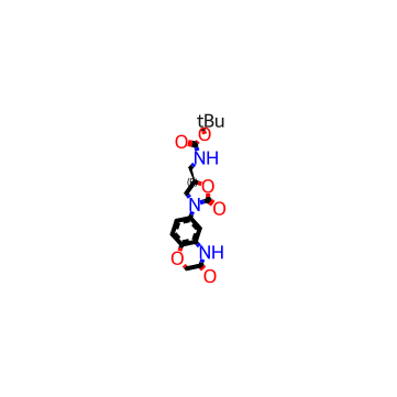 CC(C)(C)OC(=O)NC[C@@H]1CN(c2ccc3c(c2)NC(=O)CO3)C(=O)O1